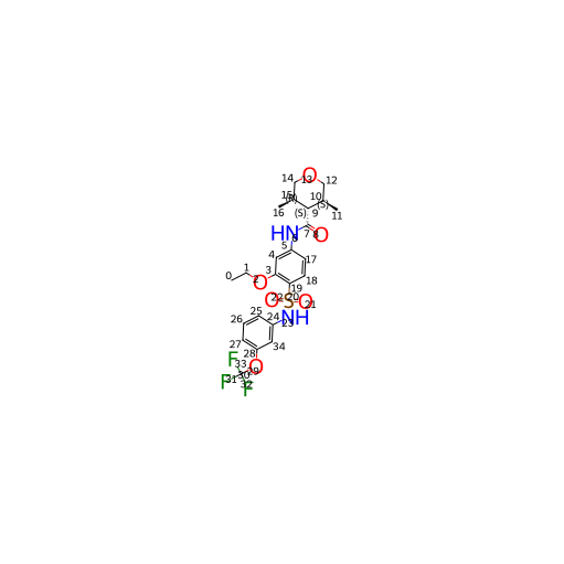 CCOc1cc(NC(=O)[C@H]2[C@H](C)COC[C@@H]2C)ccc1S(=O)(=O)Nc1cccc(OC(F)(F)F)c1